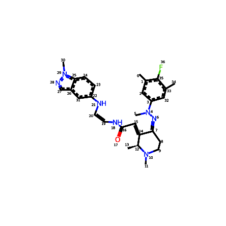 Cc1cc(N(C)/N=C2/CCN(C)[C@@H](C)/C2=C\C(=O)N/C=C\Nc2ccc3c(cnn3C)c2)cc(C)c1F